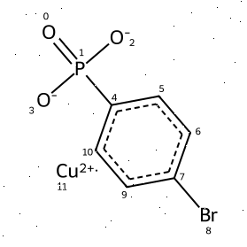 O=P([O-])([O-])c1ccc(Br)cc1.[Cu+2]